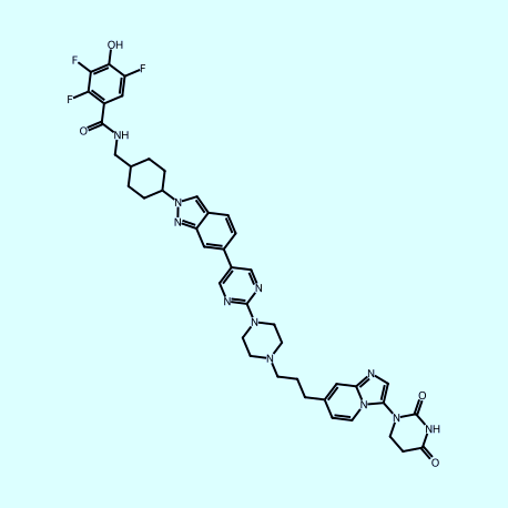 O=C1CCN(c2cnc3cc(CCCN4CCN(c5ncc(-c6ccc7cn(C8CCC(CNC(=O)c9cc(F)c(O)c(F)c9F)CC8)nc7c6)cn5)CC4)ccn23)C(=O)N1